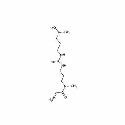 C=CC(=O)N(C)CCCNC(=O)NCCCP(O)O